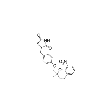 CC1(COc2ccc(CC3SC(=O)NC3=O)cc2)CCc2cccc([N+](=O)[O-])c2O1